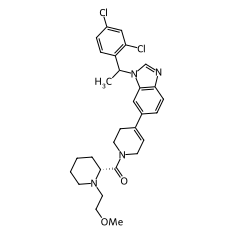 COCCN1CCCC[C@@H]1C(=O)N1CC=C(c2ccc3ncn(C(C)c4ccc(Cl)cc4Cl)c3c2)CC1